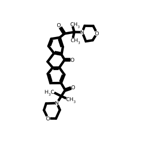 CC(C)(C(=O)c1ccc2c(c1)C(=O)c1cc(C(=O)C(C)(C)N3CCOCC3)ccc1C2)N1CCOCC1